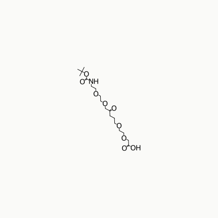 CC(C)(C)OC(=O)NCCOCCOCC(=O)CCCOCCOCC(=O)O